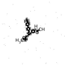 C#CC(=O)Nc1ccc(-n2cc(CCc3nnc(C)o3)cc2-c2ccc(-c3ccc(C(F)(F)F)cc3)cc2)cc1